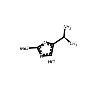 CSc1ncc([C@H](C)N)o1.Cl